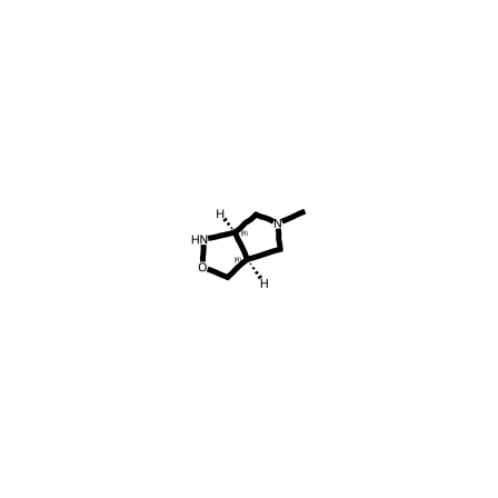 CN1C[C@H]2CON[C@H]2C1